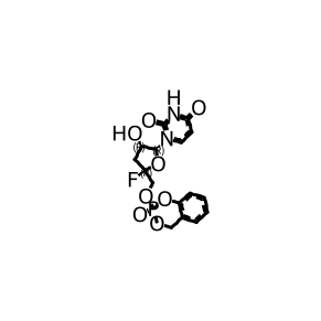 O=c1ccn([C@@H]2O[C@](F)(COP3(=O)OCc4ccccc4O3)C[C@H]2O)c(=O)[nH]1